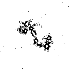 COc1cc(N2CCN(C3CCN(CC4CN(c5cccc6c5CN(C5CCC(=O)NC5=O)C6=O)C4)CC3)CC2)ccc1Nc1ncc(Cl)c(Nc2ccccc2P(C)(C)=O)n1